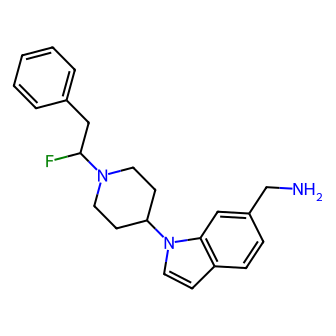 NCc1ccc2ccn(C3CCN(C(F)Cc4ccccc4)CC3)c2c1